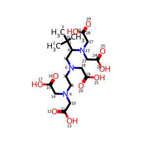 CC(C)(C)C(CN(CCN(CC(=O)O)CC(=O)O)CC(=O)O)N(CC(=O)O)CC(=O)O